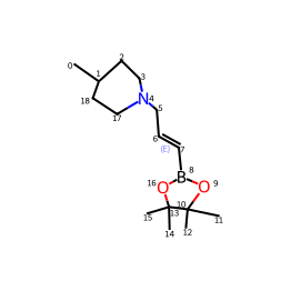 CC1CCN(C/C=C/B2OC(C)(C)C(C)(C)O2)CC1